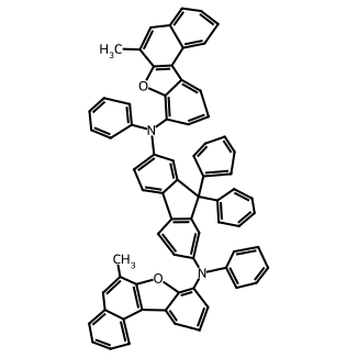 Cc1cc2ccccc2c2c1oc1c(N(c3ccccc3)c3ccc4c(c3)C(c3ccccc3)(c3ccccc3)c3cc(N(c5ccccc5)c5cccc6c5oc5c(C)cc7ccccc7c56)ccc3-4)cccc12